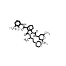 Cc1cccc(NC(=O)C2C3CCC4(O3)C2C(=O)N(C(C)CCN2CCOCC2)C4C(=O)NC2CC(C)OC(C)C2)c1C